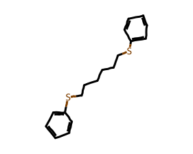 c1ccc(SCCCCCCSc2ccccc2)cc1